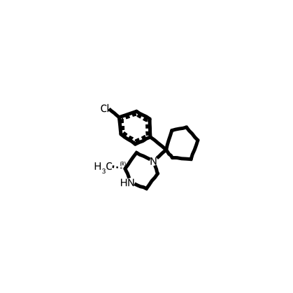 C[C@@H]1CN(C2(c3ccc(Cl)cc3)CCCCC2)CCN1